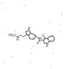 O=C(O)NCCc1c[nH]c2cc(NC(=O)c3c[nH]c4ccccc4c3=O)ccc12